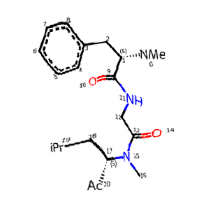 CN[C@@H](Cc1ccccc1)C(=O)NCC(=O)N(C)[C@@H](CC(C)C)C(C)=O